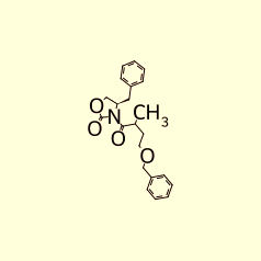 CC(CCOCc1ccccc1)C(=O)N1C(=O)OC[C@H]1Cc1ccccc1